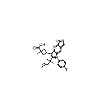 COCC(C)(C)c1c(C2CC(C)(C(=O)O)C2)c2nc3[nH]ncc3cc2n1-c1ccc(F)cc1